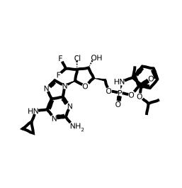 CC(C)OC(=O)C(C)N[P@](=O)(OC[C@H]1O[C@@H](n2cnc3c(NC4CC4)nc(N)nc32)[C@@](Cl)(C(F)F)[C@@H]1O)Oc1ccccc1